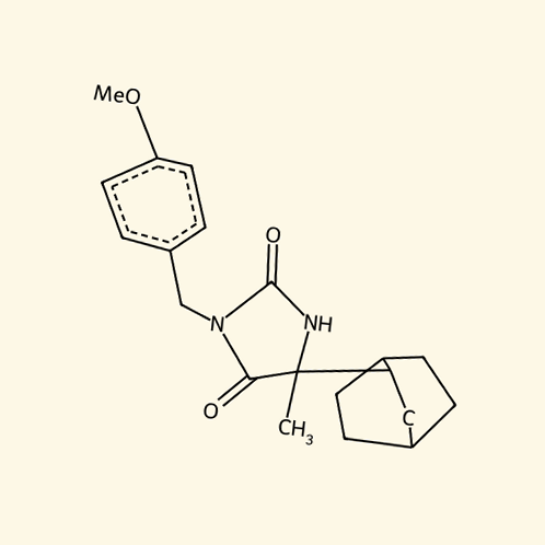 COc1ccc(CN2C(=O)NC(C)(C3CC4CCC3CC4)C2=O)cc1